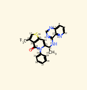 C[C@H](Nc1ncnc2cccnc12)c1cc2scc(C(F)(F)F)c2c(=O)n1-c1ccccc1